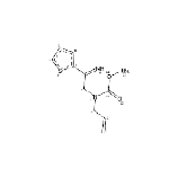 C=CCN(CC(=N)c1cccs1)C(=O)OC(C)(C)C